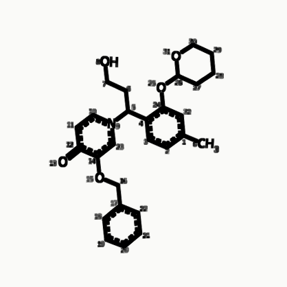 Cc1ccc(C(CCO)n2ccc(=O)c(OCc3ccccc3)c2)c(OC2CCCCO2)c1